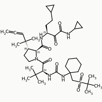 C=C=CC(C)(C)[C@H]1CCN(C(=O)[C@@H](NC(=O)NC2(CS(=O)(=O)C(C)(C)C)CCCCC2)C(C)(C)C)[C@@H]1C(=O)N[C@@H](CCC1CC1)C(=O)C(=O)NC1CC1